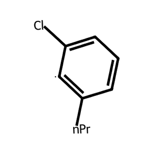 CCCc1[c]c(Cl)ccc1